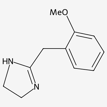 COc1ccccc1CC1=NCCN1